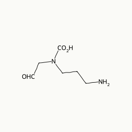 NCCCN(CC=O)C(=O)O